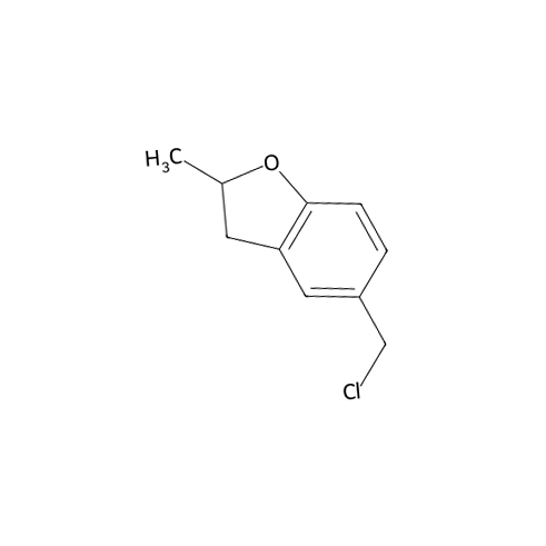 CC1Cc2cc(CCl)ccc2O1